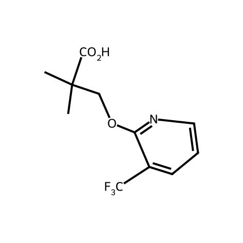 CC(C)(COc1ncccc1C(F)(F)F)C(=O)O